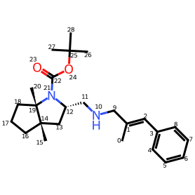 C/C(=C\c1ccccc1)CNC[C@@H]1C[C@]2(C)CCC[C@]2(C)N1C(=O)OC(C)(C)C